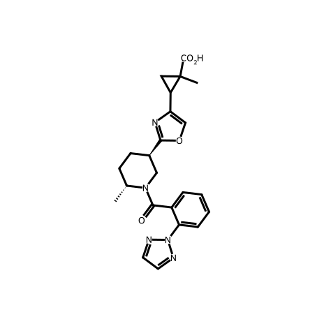 C[C@@H]1CC[C@@H](c2nc(C3CC3(C)C(=O)O)co2)CN1C(=O)c1ccccc1-n1nccn1